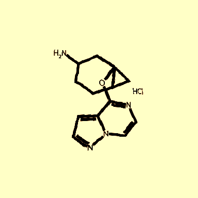 Cl.NC1CCC2CC2(Oc2nccn3nccc23)C1